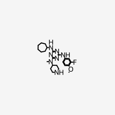 COc1ccc(Nc2nc(NC3CCCCCC3)nc(N(C)C3CCNCC3)n2)cc1F